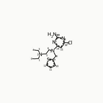 CCN(CC)CCN(Cc1cccs1)c1cc(Cl)nc(N)n1